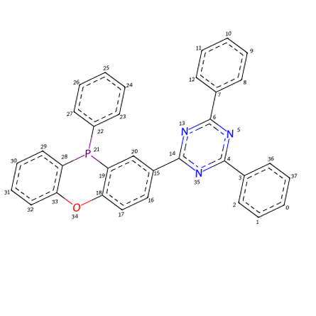 c1ccc(-c2nc(-c3ccccc3)nc(-c3ccc4c(c3)P(c3ccccc3)c3ccccc3O4)n2)cc1